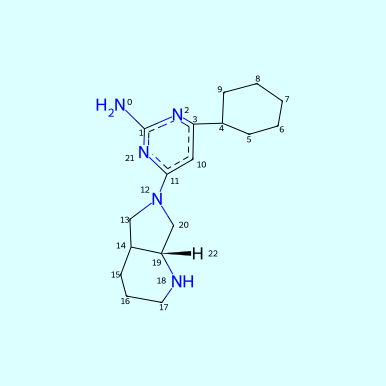 Nc1nc(C2CCCCC2)cc(N2CC3CCCN[C@H]3C2)n1